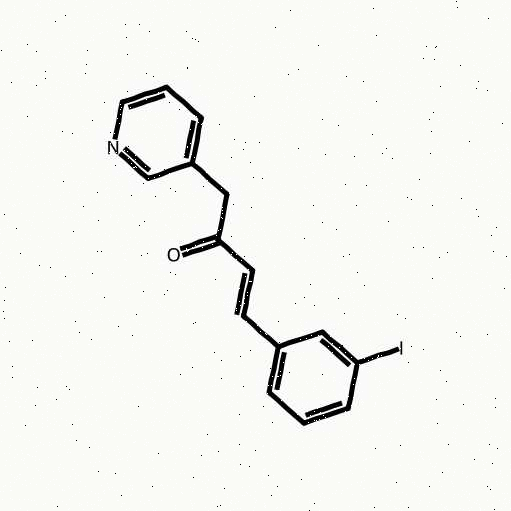 O=C(C=Cc1cccc(I)c1)Cc1cccnc1